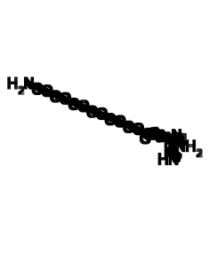 NCCOCCOCCOCCOCCOCCOCCOCCOCCOCCOCCOCCOCCC(=O)N1CCc2cc(Cn3nc(-c4cnc5[nH]ccc5c4)c4c(N)ncnc43)ccc2C1